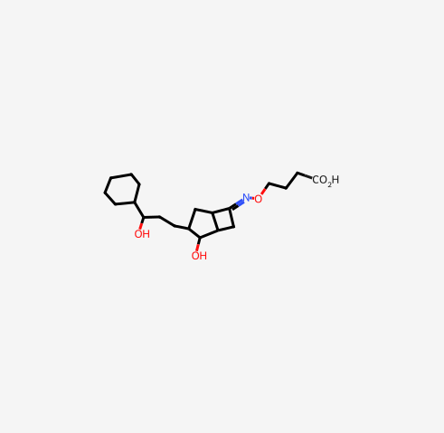 O=C(O)CCCON=C1CC2C1CC(CCC(O)C1CCCCC1)C2O